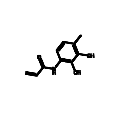 C=CC(=O)Nc1ccc(C)c(O)c1O